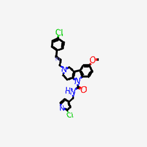 COc1ccc2c(c1)c1c(n2C(=O)NCc2ccnc(Cl)c2)CCN(C/C=C/c2ccc(Cl)cc2)C1